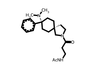 CC(=O)NCCC(=O)N1CC[C@]2(CC[C@@](c3ccccc3)(N(C)C)CC2)C1